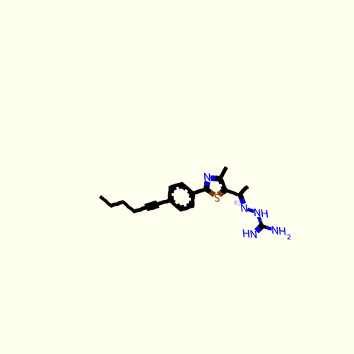 CCCCC#Cc1ccc(-c2nc(C)c(/C(C)=N/NC(=N)N)s2)cc1